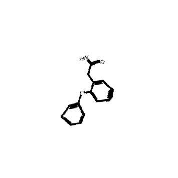 [NH]C(=O)Cc1ccccc1Oc1ccccc1